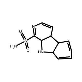 NS(=O)(=O)C1=NC=CC2C1NC1C=CC=CC12